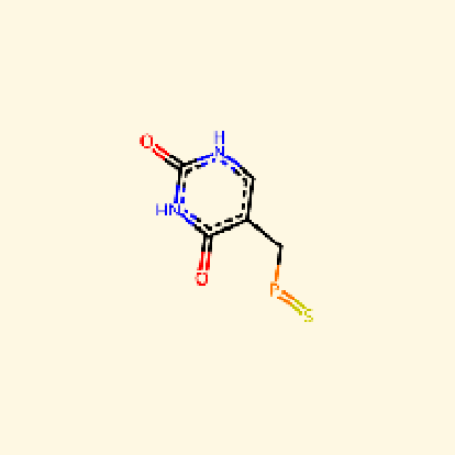 O=c1[nH]cc(CP=S)c(=O)[nH]1